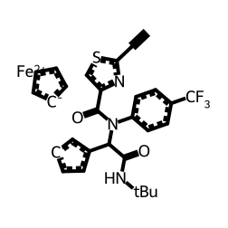 C#Cc1nc(C(=O)N(c2ccc(C(F)(F)F)cc2)C(C(=O)NC(C)(C)C)c2cc[cH-]c2)cs1.[Fe+2].c1cc[cH-]c1